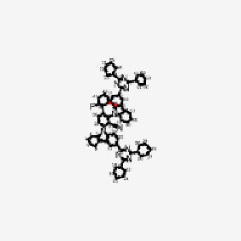 N#Cc1c(-n2c3ccccc3c3cc(-c4nc(-c5ccccc5)nc(-c5ccccc5)n4)ccc32)ccc(-c2c(F)cccc2F)c1-n1c2ccccc2c2cc(-c3nc(-c4ccccc4)nc(-c4ccccc4)n3)ccc21